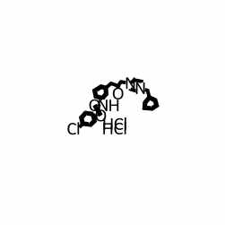 Cl.Cl.O=C(Cc1cccc(NS(=O)(=O)c2ccc(Cl)cc2)c1)CN1CCN(Cc2ccccc2)CC1